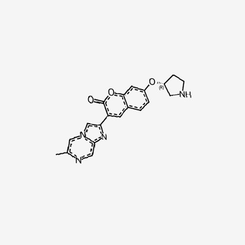 Cc1cn2cc(-c3cc4ccc(O[C@@H]5CCNC5)cc4oc3=O)nc2cn1